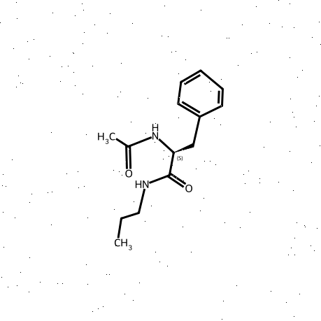 CCCNC(=O)[C@H](Cc1ccccc1)NC(C)=O